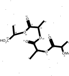 COC(C)C(=O)OC(C)C(=O)OC(C)C(=O)OC(C)C(=O)O